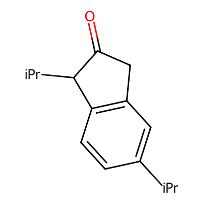 CC(C)c1ccc2c(c1)CC(=O)C2C(C)C